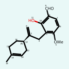 C=C(Cc1c(OC)ccc(C=O)c1O)[C@H]1CC=C(C)CC1